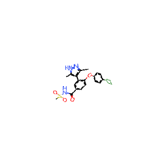 Cc1n[nH]c(C)c1-c1cc(C(=O)NS(C)(=O)=O)ccc1Oc1ccc(Cl)cc1